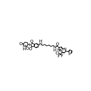 O=C1CCC(N2C(=O)c3ccc(NCCCCCCNC(=O)c4cc5nc(-c6cccs6)cc(C(F)(F)Cl)n5n4)cc3C2=O)C(=O)N1